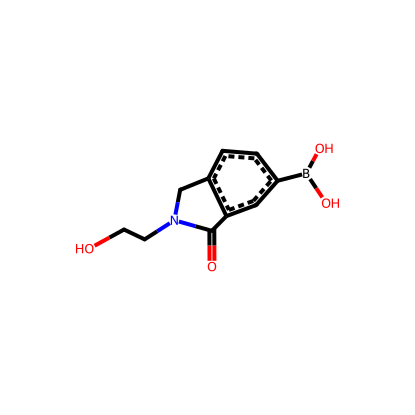 O=C1c2cc(B(O)O)ccc2CN1CCO